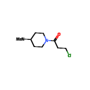 CNC1CCN(C(=O)CCCl)CC1